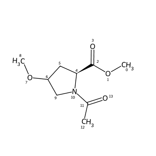 COC(=O)[C@@H]1CC(OC)CN1C(C)=O